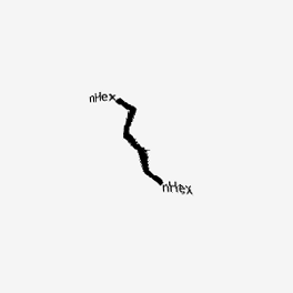 CCCCCCC[CH]CCCCCCCC